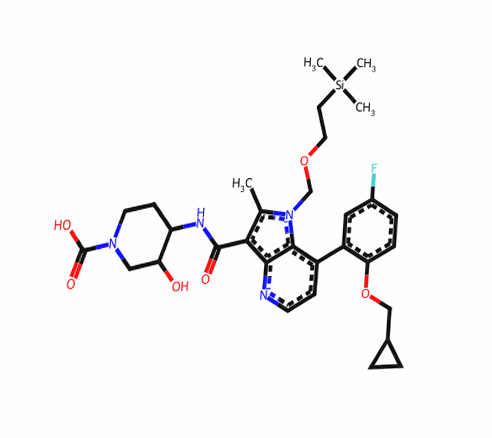 Cc1c(C(=O)NC2CCN(C(=O)O)CC2O)c2nccc(-c3cc(F)ccc3OCC3CC3)c2n1COCC[Si](C)(C)C